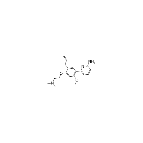 C=CCc1cc(-c2cccc(N)n2)c(OC)cc1OCCN(C)C